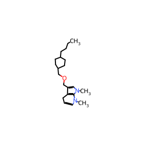 CCCCC1CCC(COCc2cn(C)c3c2CC=CN3C)CC1